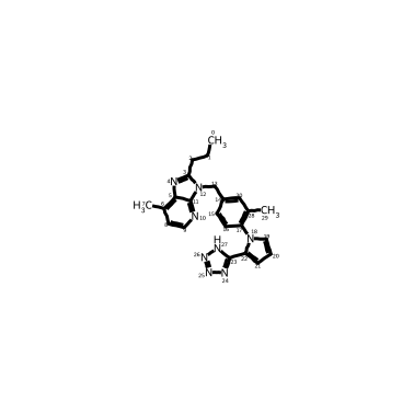 CCCc1nc2c(C)ccnc2n1Cc1ccc(-n2cccc2-c2nnn[nH]2)c(C)c1